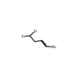 CCCCC=CCC(CC)CC